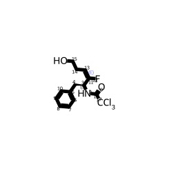 O=C(N[C@@H](Cc1ccccc1)/C(F)=C\CCO)C(Cl)(Cl)Cl